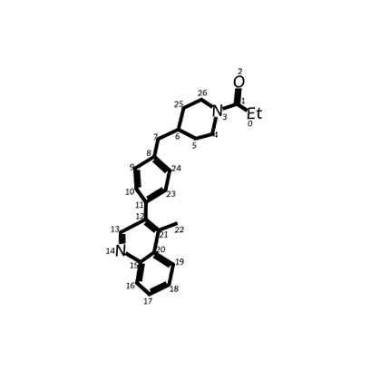 CCC(=O)N1CCC(Cc2ccc(-c3cnc4ccccc4c3C)cc2)CC1